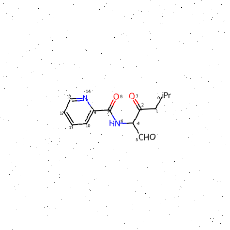 CC(C)CC(=O)C(C=O)NC(=O)c1ccccn1